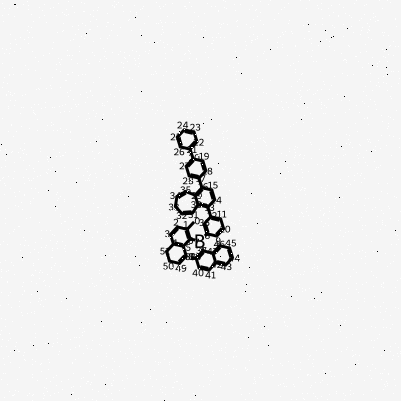 Cc1ccc2c(c1B(c1cccc(-c3ccc(-c4ccc(-c5ccccc5)cc4)c4c3C=CCC=C4)c1)c1c(C)ccc3ccccc13)C=CCC2